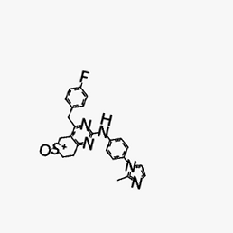 Cc1nccn1-c1ccc(Nc2nc3c(c(Cc4ccc(F)cc4)n2)C[S+]([O-])CC3)cc1